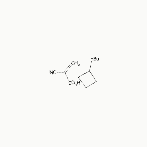 C=C(C#N)C(=O)O.CCCCC1CCC1